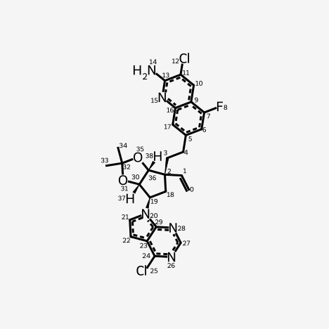 C=C[C@]1(CCc2cc(F)c3cc(Cl)c(N)nc3c2)C[C@@H](n2ccc3c(Cl)ncnc32)[C@@H]2OC(C)(C)O[C@@H]21